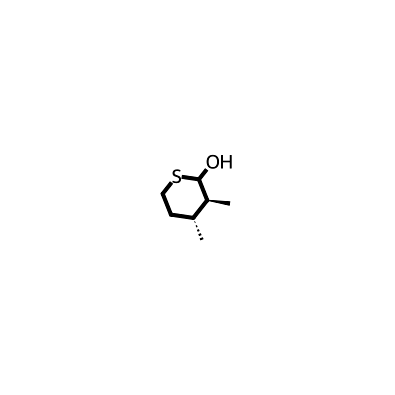 C[C@@H]1CCSC(O)[C@H]1C